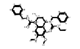 CCOC(=O)N(Cc1ccccc1)[C@H]1C[C@@H](C)N(C(=O)OCc2ccccc2)c2cc(OC)c(OC)cc21